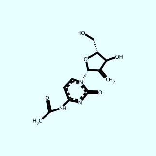 C=C1C(O)[C@@H](CO)O[C@H]1n1ccc(NC(C)=O)nc1=O